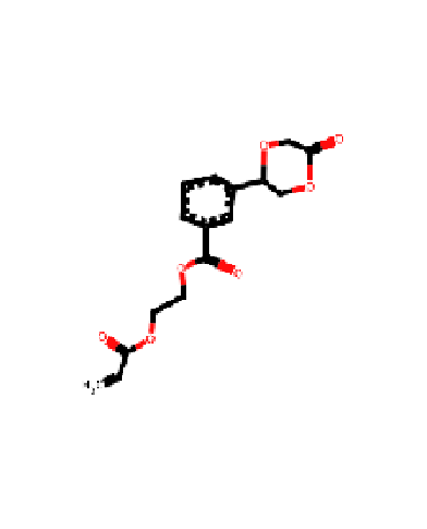 C=CC(=O)OCCOC(=O)c1cccc(C2COC(=O)CO2)c1